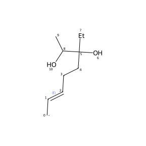 [CH2]/C=C/CCC(O)(CC)C(C)O